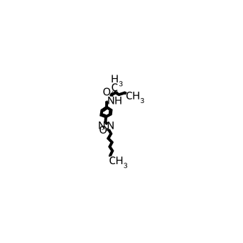 CCCCCCCc1nc(-c2ccc(CNC(=O)[C@@H](C)CCC)cc2)no1